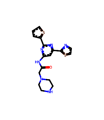 O=C(CN1CCNCC1)Nc1cc(-c2nccs2)nc(-c2cccs2)n1